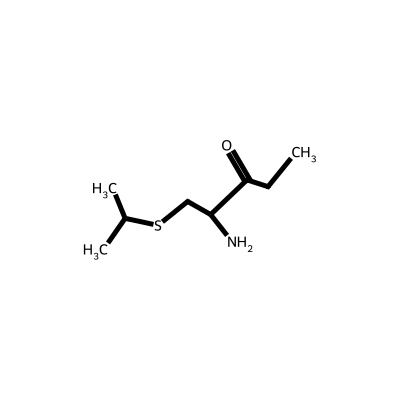 CCC(=O)C(N)CSC(C)C